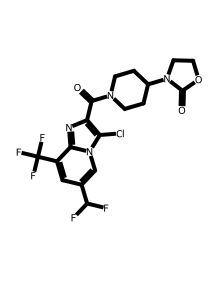 O=C(c1nc2c(C(F)(F)F)cc(C(F)F)cn2c1Cl)N1CCC(N2CCOC2=O)CC1